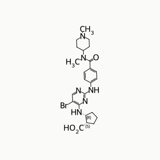 CN1CCC(N(C)C(=O)c2ccc(Nc3ncc(Br)c(N[C@@H]4CCC[C@@H]4C(=O)O)n3)cc2)CC1